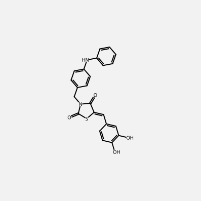 O=C1S/C(=C\c2ccc(O)c(O)c2)C(=O)N1Cc1ccc(Nc2ccccc2)cc1